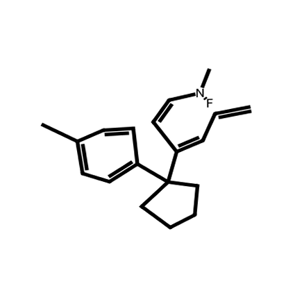 C=C/C=C(\C=C/N(C)F)C1(c2ccc(C)cc2)CCCC1